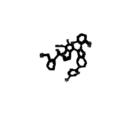 CCc1cccc(CC)c1-n1nc2c(c1-c1cc(F)c(OC)c3c1ccn3C(=O)c1ccccc1CCl)CN(c1ncc(C(F)(F)F)cn1)CC2